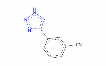 N#Cc1cccc(-c2nn[nH]n2)c1